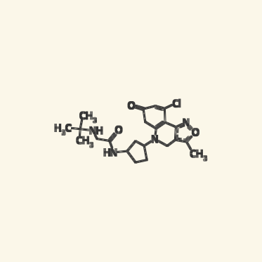 Cc1onc2c1CN(C1CCC(NC(=O)CNC(C)(C)C)C1)C1=C2C(Cl)=CC(=O)C1